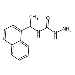 CC(NC(=O)NN)c1cccc2ccccc12